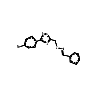 Brc1ccc(-c2nnc(CON=Cc3ccccc3)o2)cc1